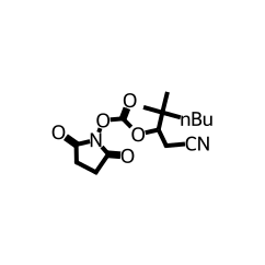 CCCCC(C)(C)C(CC#N)OC(=O)ON1C(=O)CCC1=O